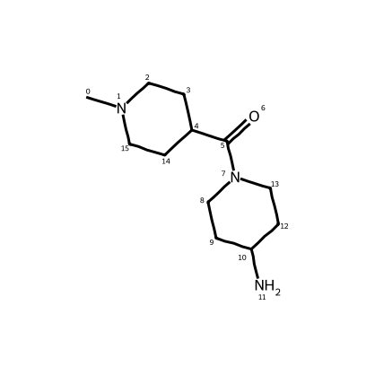 CN1CCC(C(=O)N2CCC(N)CC2)CC1